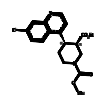 CCOC(=O)[C@H]1CN(C(=O)OC(C)(C)C)CC[C@@H]1c1ccnc2cc(Cl)ccc12